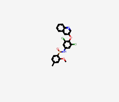 COc1cc(C)ccc1[S+]([O-])Nc1cc(Cl)c(Oc2cnc3ccccc3c2)c(Cl)c1